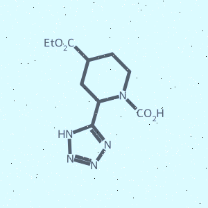 CCOC(=O)C1CCN(C(=O)O)C(c2nnn[nH]2)C1